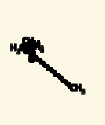 CCCCCCCCCCCCCCCCCCCCCC(=O)OCCOC(C)[N+](CC)(CC)CC